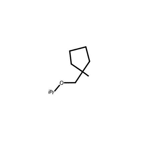 CC(C)OCC1(C)CCCC1